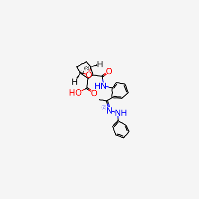 C/C(=N/Nc1ccccc1)c1ccccc1NC(=O)C1C(C(=O)O)[C@@H]2CC[C@H]1O2